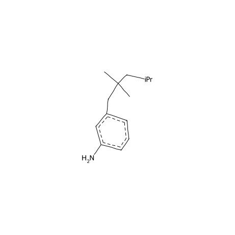 CC(C)CC(C)(C)Cc1cccc(N)c1